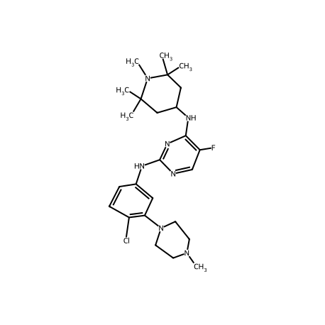 CN1CCN(c2cc(Nc3ncc(F)c(NC4CC(C)(C)N(C)C(C)(C)C4)n3)ccc2Cl)CC1